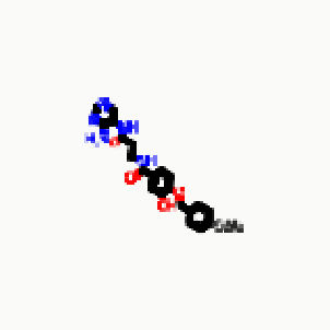 COc1ccc(COc2ccc(C(=O)NCCC(=O)Nc3cncnc3N)cc2O)cc1